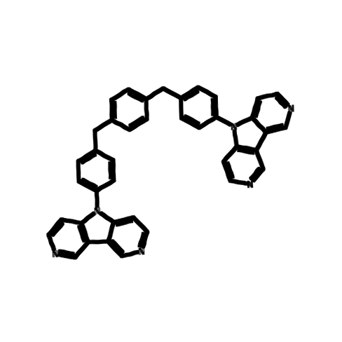 c1cc2c(cn1)c1cnccc1n2-c1ccc(Cc2ccc(Cc3ccc(-n4c5ccncc5c5cnccc54)cc3)cc2)cc1